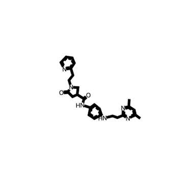 Cc1cc(C)nc(CCNc2ccc(NC(=O)C3CC(=O)N(CCc4ccccn4)C3)cc2)n1